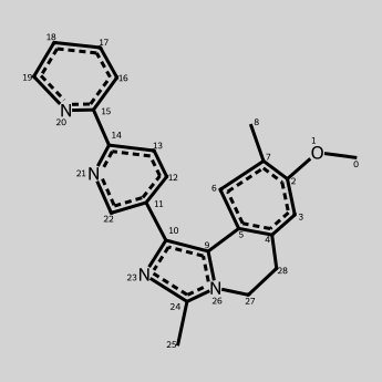 COc1cc2c(cc1C)-c1c(-c3ccc(-c4ccccn4)nc3)nc(C)n1CC2